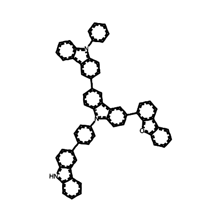 c1ccc(-n2c3ccccc3c3cc(-c4ccc5c(c4)c4cc(-c6cccc7c6oc6ccccc67)ccc4n5-c4ccc(-c5ccc6[nH]c7ccccc7c6c5)cc4)ccc32)cc1